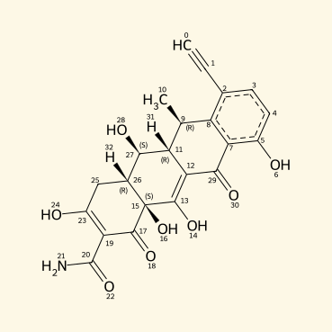 C#Cc1ccc(O)c2c1[C@H](C)[C@@H]1C(=C(O)[C@]3(O)C(=O)C(C(N)=O)=C(O)C[C@@H]3[C@H]1O)C2=O